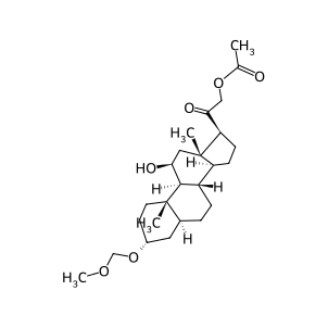 COCO[C@@H]1CC[C@@]2(C)[C@@H](CC[C@@H]3[C@@H]2[C@@H](O)C[C@]2(C)[C@@H](C(=O)COC(C)=O)CC[C@@H]32)C1